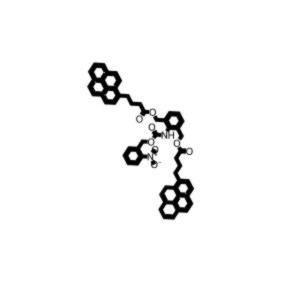 O=C(CCCc1ccc2ccc3c4c2c1CC=C4CC=C3)OCc1cccc(COC(=O)CCCc2ccc3ccc4cccc5ccc2c3c45)c1NC(=O)OCc1ccccc1[N+](=O)[O-]